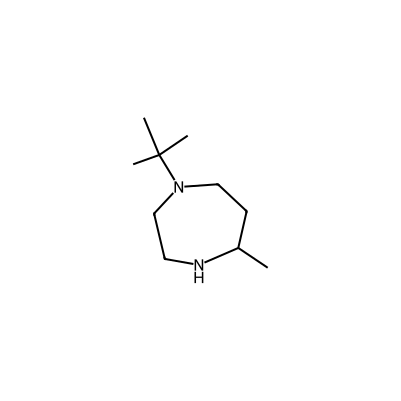 CC1CCN(C(C)(C)C)CCN1